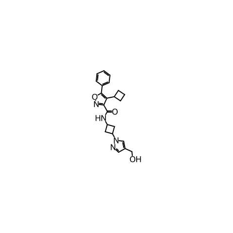 O=C(NC1CC(n2cc(CO)cn2)C1)c1noc(-c2ccccc2)c1C1CCC1